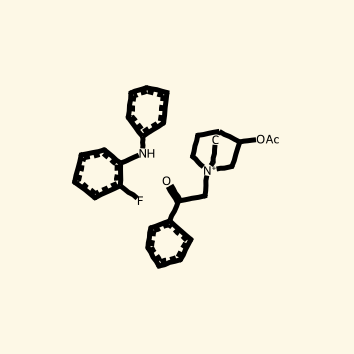 CC(=O)OC1C[N+]2(CC(=O)c3ccccc3)CCC1CC2.Fc1ccccc1Nc1ccccc1